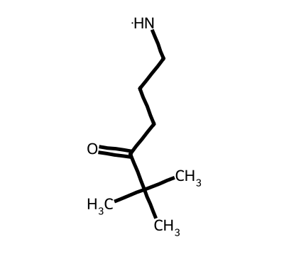 CC(C)(C)C(=O)CCC[NH]